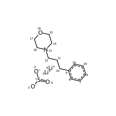 O=S([O-])[O-].[Li+].[Li+].c1ccc(CCCN2CCOCC2)cc1